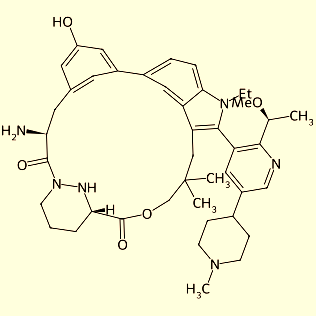 CCn1c(-c2cc(C3CCN(C)CC3)cnc2[C@H](C)OC)c2c3cc(ccc31)-c1cc(O)cc(c1)C[C@H](N)C(=O)N1CCC[C@H](N1)C(=O)OCC(C)(C)C2